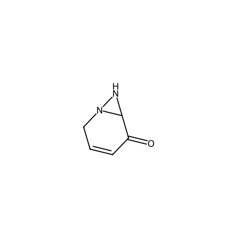 O=C1C=CCN2NC12